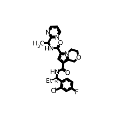 CC[C@@H](NC(=O)c1cc(C(=O)NC(C)c2ncccn2)n2c1COCC2)c1ccc(F)cc1Cl